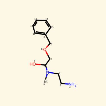 CCN(CCN)C(O)COCc1ccccc1